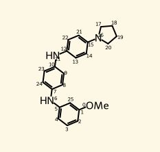 COc1cccc(Nc2ccc(Nc3ccc(N4CCCC4)cc3)cc2)c1